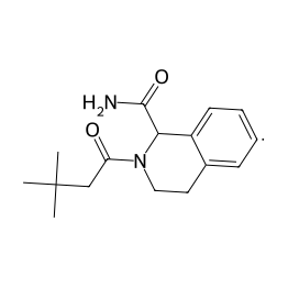 CC(C)(C)CC(=O)N1CCc2c[c]ccc2C1C(N)=O